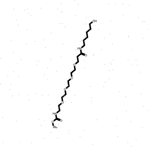 CC(C)(C)OC(=O)NCCOCCOCCOCCOCCC(=O)NCCCCCCO